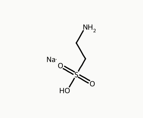 NCCS(=O)(=O)O.[Na]